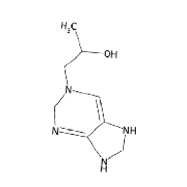 CC(O)CN1C=C2NCNC2=NC1